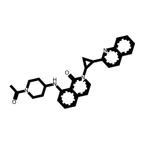 CC(=O)N1CCC(Nc2cccc3ccn(C4CC4c4ccc5ccccc5n4)c(=O)c23)CC1